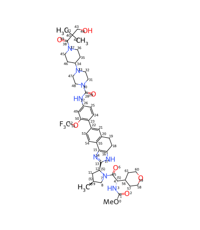 COC(=O)N[C@H](C(=O)N1C[C@@H](C)C[C@H]1c1nc2c([nH]1)CCc1cc(-c3ccc(NC(=O)N4CCN(C5CCN(C(=O)C(C)(C)CO)CC5)CC4)cc3OC(F)(F)F)ccc1-2)C1CCOCC1